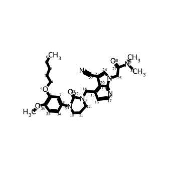 CCCCCOc1cc(N2CCCN(Cc3ccnc4c3c(C#N)cn4CC(=O)N(C)C)C2=O)ccc1OC